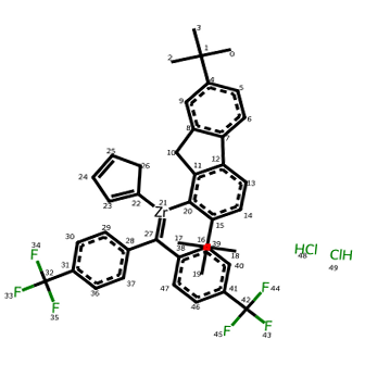 CC(C)(C)c1ccc2c(c1)Cc1c-2ccc(C(C)(C)C)[c]1[Zr]([C]1=CC=CC1)=[C](c1ccc(C(F)(F)F)cc1)c1ccc(C(F)(F)F)cc1.Cl.Cl